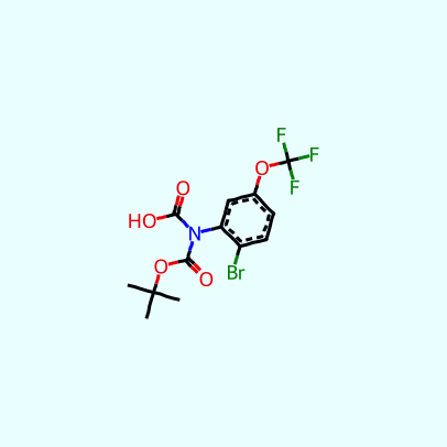 CC(C)(C)OC(=O)N(C(=O)O)c1cc(OC(F)(F)F)ccc1Br